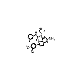 COc1ccc(-c2ccc3nc(N)nc(N(CCN)C(=O)Nc4cccc(C)c4)c3n2)cc1OC